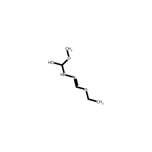 CCOC=NNC(O)OC